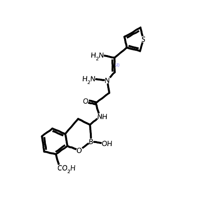 N/C(=C\N(N)CC(=O)NC1Cc2cccc(C(=O)O)c2OB1O)c1ccsc1